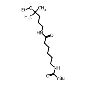 CCCCC(=O)NCCCCCC(=O)NCCCC(C)(C)OCC